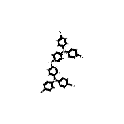 Fc1ccc([S+](c2ccc(F)cc2)c2ccc(Sc3ccc([S+](c4ccc(F)cc4)c4ccc(F)cc4)cc3)cc2)cc1